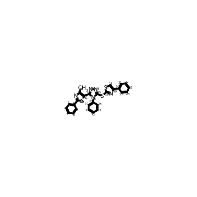 Cc1nc(-c2ccccc2)sc1-c1nnc(Sc2nc(-c3ccccc3)cs2)n1-c1ccccc1